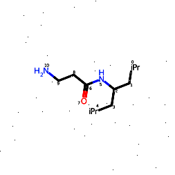 CC(C)CC(CC(C)C)NC(=O)CCN